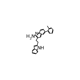 Cc1ccccc1-c1ccc2nc(N)c(CCc3cc4ccccc4[nH]3)cc2c1